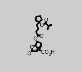 C=C(C)C(=O)OC1(CCCC(=O)OC2C3CC4C2OC(=O)C4C3C(=O)O)CCCC1